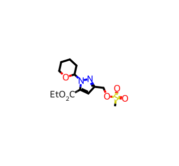 CCOC(=O)c1cc(COS(C)(=O)=O)nn1C1CCCCO1